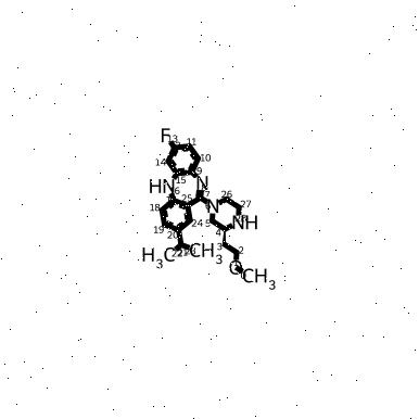 COCC[C@H]1CN(C2=Nc3ccc(F)cc3Nc3ccc(C(C)C)cc32)CCN1